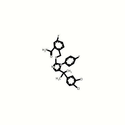 CC(C)(c1ccc(Cl)c(Cl)c1)c1cnc(SCc2ccc(F)cc2C(N)=O)n1-c1ccc(F)cc1